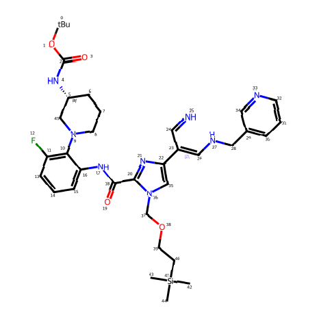 CC(C)(C)OC(=O)N[C@@H]1CCCN(c2c(F)cccc2NC(=O)c2nc(/C(C=N)=C/NCc3cccnc3)cn2COCC[Si](C)(C)C)C1